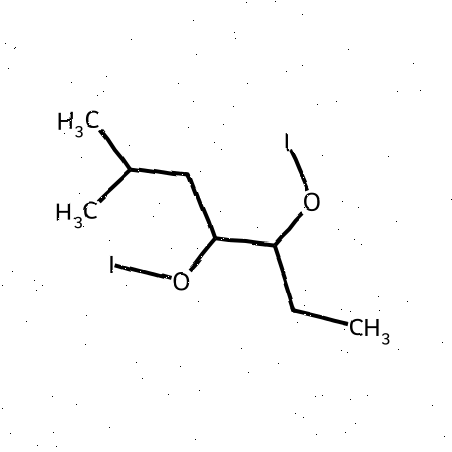 CCC(OI)C(CC(C)C)OI